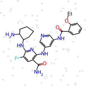 CCOc1ccccc1C(=O)Nc1cncc(Nc2nc(NC3CCCCC3N)c(F)cc2C(N)=O)c1